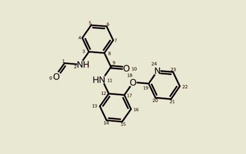 O=CNc1ccccc1C(=O)Nc1ccccc1Oc1ccccn1